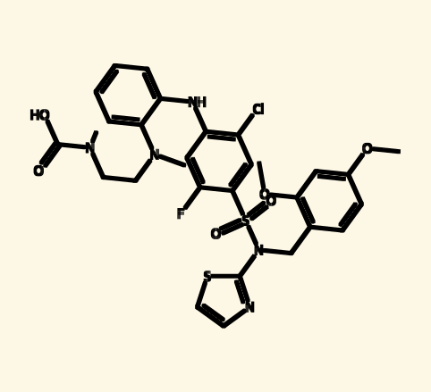 COc1ccc(CN(c2nccs2)S(=O)(=O)c2cc(Cl)c(Nc3ccccc3N(C)CCN(C)C(=O)O)cc2F)c(OC)c1